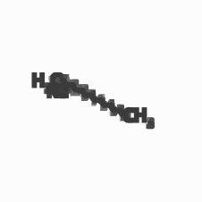 CCCCCCCCCCCCC[CH]([Na])CC